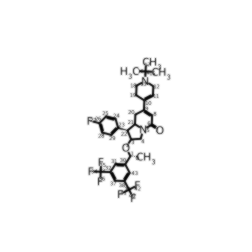 C[C@@H](OC1CN2C(=O)C=C(C3=CCN(C(C)(C)C)CC3)CC2[C@@H]1c1ccc(F)cc1)c1cc(C(F)(F)F)cc(C(F)(F)F)c1